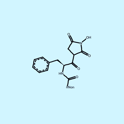 CCCCCCCCCC(=O)N[C@@H](Cc1ccccc1)C(=O)C1CC(=O)N(O)C1=O